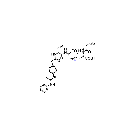 CC(C)CC(NC(=O)Cc1ccc(NC(=S)Nc2ccccc2)cc1)C(=O)NC(C/C=C/CC(NC(=O)CC(C)(C)C)C(=O)O)C(=O)O